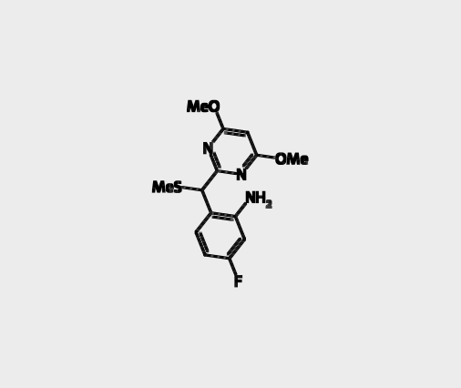 COc1cc(OC)nc(C(SC)c2ccc(F)cc2N)n1